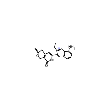 C=C1Cc2cc(C(=C)/C(=C\c3ccccc3N)CC)[nH]c(=O)c2CO1